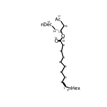 CCCCCC/C=C\CCCCCCCC(=O)O[C@H](CCCCCCCCCCC)CC(C)=O